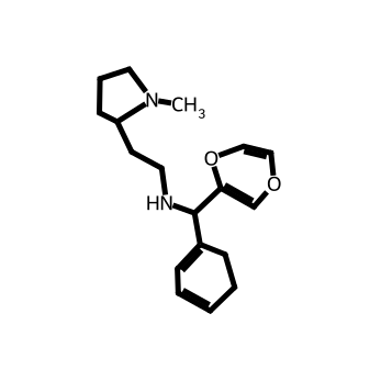 CN1CCCC1CCNC(C1=CC=CCC1)C1=COC=CO1